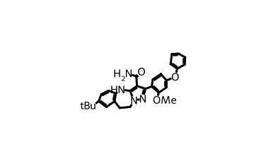 COc1cc(Oc2ccccc2)ccc1-c1nn2c(c1C(N)=O)Nc1ccc(C(C)(C)C)cc1CC2